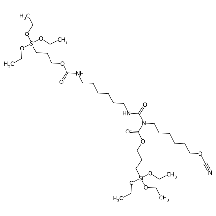 CCO[Si](CCCOC(=O)NCCCCCCNC(=O)N(CCCCCCOC#N)C(=O)OCCC[Si](OCC)(OCC)OCC)(OCC)OCC